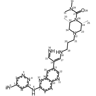 CC(C)c1cnnc(Nc2ccc3ncc(/C(C=N)=C/NCCCN4C[C@@H](C)N(C(=O)N(C)C)[C@@H](C)C4)cc3n2)c1